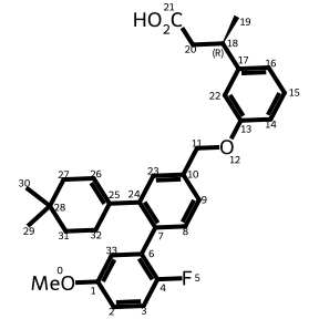 COc1ccc(F)c(-c2ccc(COc3cccc([C@H](C)CC(=O)O)c3)cc2C2=CCC(C)(C)CC2)c1